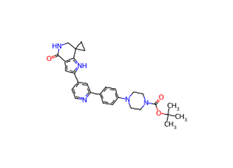 CC(C)(C)OC(=O)N1CCN(c2ccc(-c3cc(-c4cc5c([nH]4)C4(CC4)CNC5=O)ccn3)cc2)CC1